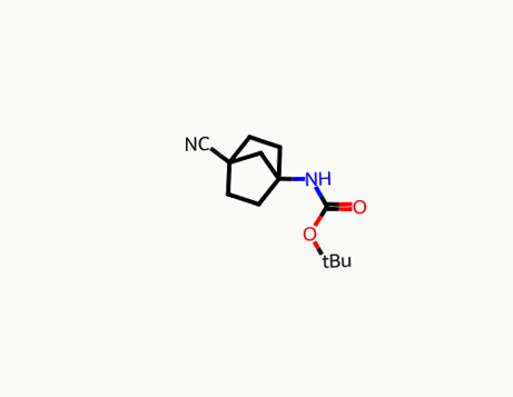 CC(C)(C)OC(=O)NC12CCC(C#N)(CC1)C2